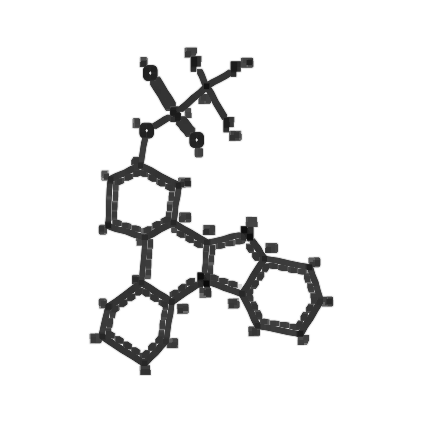 O=S(=O)(Oc1ccc2c3ccccc3n3c4ccccc4nc3c2c1)C(F)(F)F